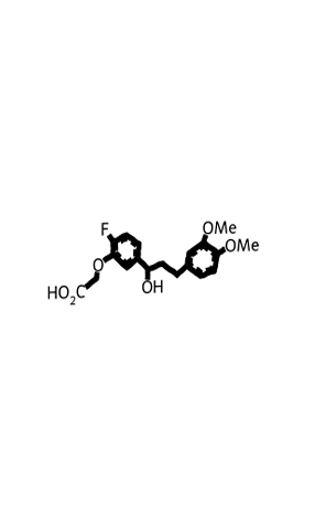 COc1ccc(CCC(O)c2ccc(F)c(OCC(=O)O)c2)cc1OC